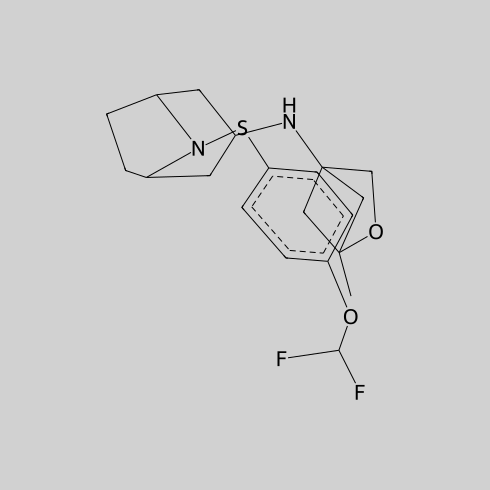 CC12CC(NC3CC4CCC(C3)N4Sc3ccc(OC(F)F)cc3)(CO1)C2